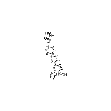 C[C@@H](O)[C@H](CC(=O)c1ccc(-c2ccc(OCC(=O)NO)cc2)cc1)C(=O)NO